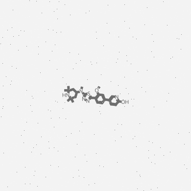 COc1cc(-c2ccc(O)nc2)ccc1-c1nnc(N(C)C2CC(C)(C)NC(C)(C)C2)s1